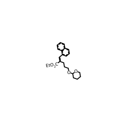 CCOC(=O)C(=Cc1cccc2ccccc12)CCCOC1CCCCO1